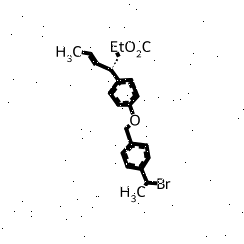 CC=C[C@H](CC(=O)OCC)c1ccc(OCc2ccc(C(C)Br)cc2)cc1